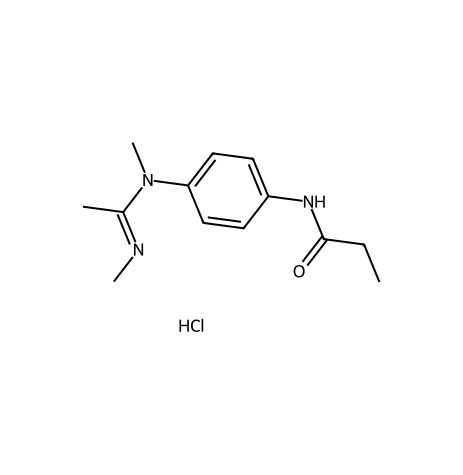 CCC(=O)Nc1ccc(N(C)C(C)=NC)cc1.Cl